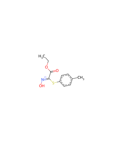 CCOC(=O)/C(=N/O)Sc1ccc(C)cc1